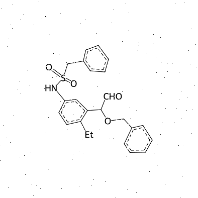 CCc1ccc(NS(=O)(=O)Cc2ccccc2)cc1C(C=O)OCc1ccccc1